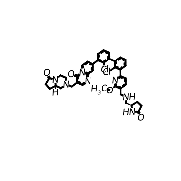 COc1nc(-c2cccc(-c3cccc(-c4ccn5c(=O)c(CN6CCN7C(=O)CC[C@@H]7C6)cnc5c4)c3Cl)c2Cl)ccc1CNC[C@H]1CCC(=O)N1